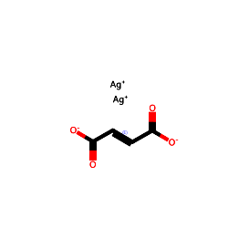 O=C([O-])/C=C/C(=O)[O-].[Ag+].[Ag+]